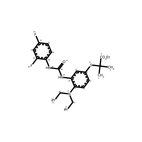 CCOC(=O)C(C)(C)Sc1ccc(N(CC(C)C)CC(C)C)c(NC(=O)Nc2ccc(F)cc2F)c1